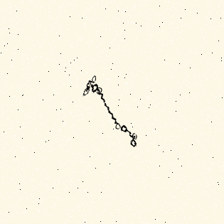 O=C(/C=C/c1ccc(OCCCCCCCCCCCCOc2ccc(N3C(=O)C=CC3=O)cc2)cc1)c1ccccc1